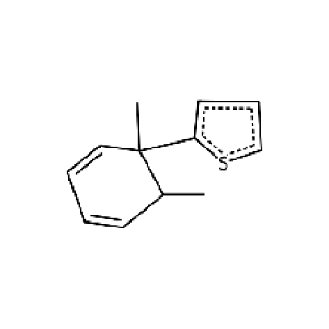 CC1C=CC=CC1(C)c1cccs1